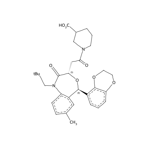 Cc1ccc2c(c1)[C@H](c1cccc3c1OCCO3)O[C@@H](CC(=O)N1CCCC(C(=O)O)C1)C(=O)N2CC(C)(C)C